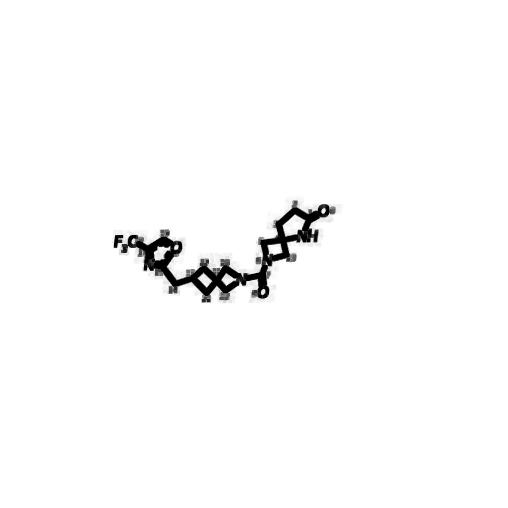 O=C1CCC2(CN(C(=O)N3CC4(CC(Cc5nc(C(F)(F)F)co5)C4)C3)C2)N1